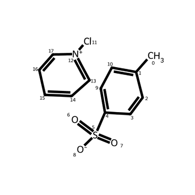 Cc1ccc(S(=O)(=O)[O-])cc1.Cl[n+]1ccccc1